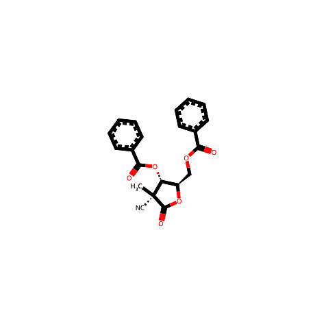 C[C@]1(C#N)C(=O)O[C@H](COC(=O)c2ccccc2)[C@H]1OC(=O)c1ccccc1